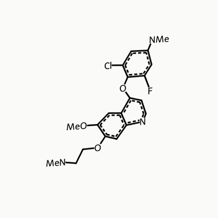 CNCCOc1cc2nccc(Oc3c(F)cc(NC)cc3Cl)c2cc1OC